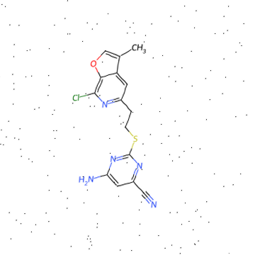 Cc1coc2c(Cl)nc(CCSc3nc(N)cc(C#N)n3)cc12